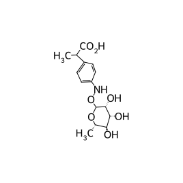 CC(C(=O)O)c1ccc(NOC2O[C@@H](C)[C@H](O)[C@@H](O)[C@H]2O)cc1